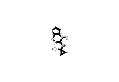 CC1(NC2=NSc3sccc3N2Cl)CC1